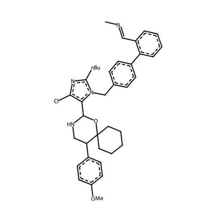 CCCCc1nc(Cl)c(C2NCC(c3ccc(OC)cc3)C3(CCCCC3)O2)n1Cc1ccc(-c2ccccc2/C=N/C)cc1